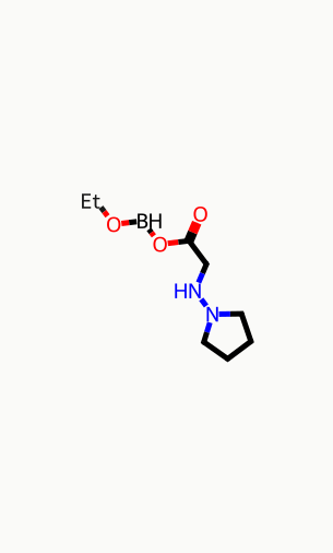 CCOBOC(=O)CNN1CCCC1